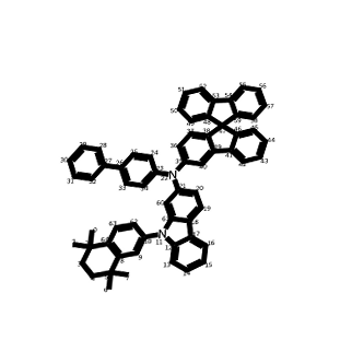 CC1(C)CCC(C)(C)c2cc(-n3c4ccccc4c4ccc(N(c5ccc(-c6ccccc6)cc5)c5ccc6c(c5)-c5ccccc5C65c6ccccc6-c6ccccc65)cc43)ccc21